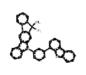 CC1(C)c2ccccc2-c2cc3c4ccccc4n(-c4cccc(-c5cccc6c5oc5ccccc56)c4)c3cc21